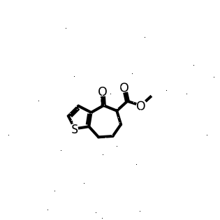 COC(=O)C1CCCc2sccc2C1=O